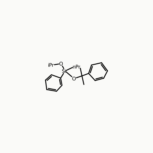 CCC[Si](OC(C)C)(OC(C)(C)c1ccccc1)c1ccccc1